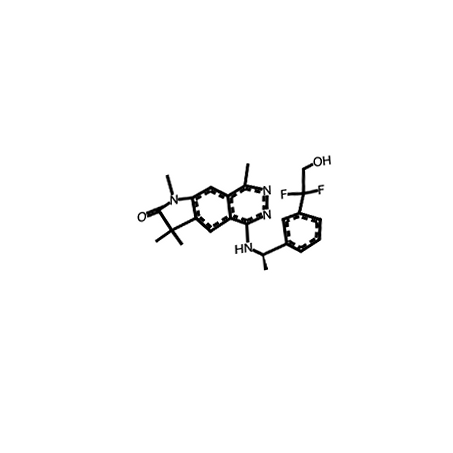 Cc1nnc(N[C@H](C)c2cccc(C(F)(F)CO)c2)c2cc3c(cc12)N(C)C(=O)C3(C)C